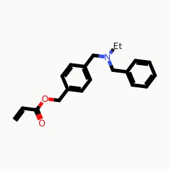 C=CC(=O)OCc1ccc(CN(CC)Cc2ccccc2)cc1